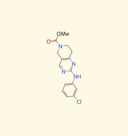 COC(=O)N1CCc2nc(Nc3cccc(Cl)c3)ncc2C1